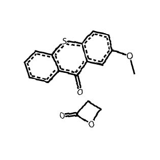 COc1ccc2sc3ccccc3c(=O)c2c1.O=C1CCO1